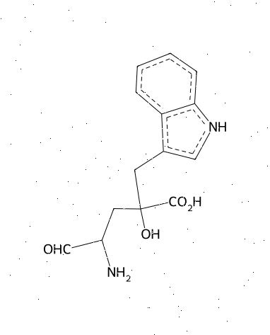 NC(C=O)CC(O)(Cc1c[nH]c2ccccc12)C(=O)O